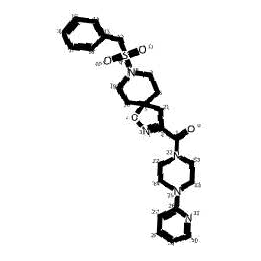 O=C(C1=NOC2(CCN(S(=O)(=O)Cc3ccccc3)CC2)C1)N1CCN(c2ccccn2)CC1